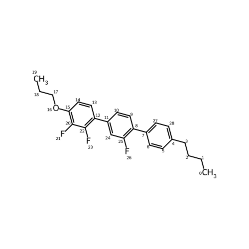 CCCCc1ccc(-c2ccc(-c3ccc(OCCC)c(F)c3F)cc2F)cc1